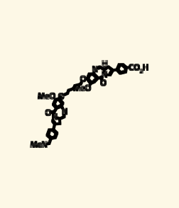 CNCc1ccc(C2=CN3C(=O)c4cc(OC)c(OCCCCCOc5cc6c(cc5OC)C(=O)N5C=C(c7ccc(C(=O)O)cc7)C[C@H]5C=N6)cc4N=CC3C2)cc1